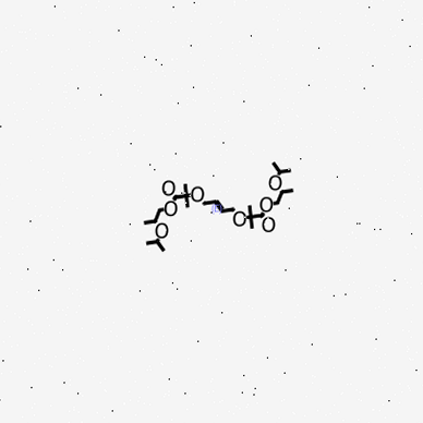 CC(C)OC(C)COC(=O)C(C)(C)OC/C=C/COC(C)(C)C(=O)OCC(C)OC(C)C